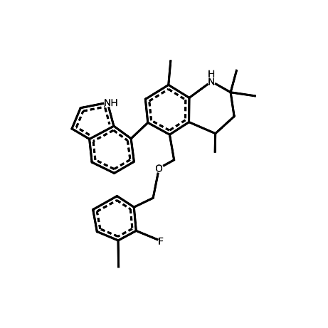 Cc1cccc(COCc2c(-c3cccc4cc[nH]c34)cc(C)c3c2C(C)CC(C)(C)N3)c1F